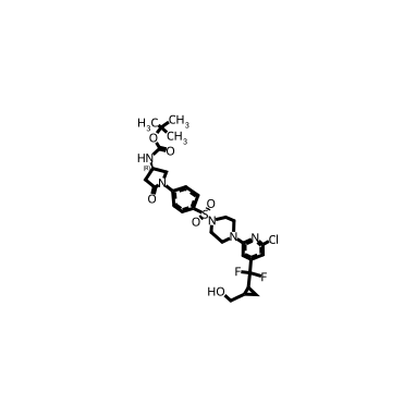 CC(C)(C)OC(=O)N[C@@H]1CC(=O)N(c2ccc(S(=O)(=O)N3CCN(c4cc(C(F)(F)C5CC5CO)cc(Cl)n4)CC3)cc2)C1